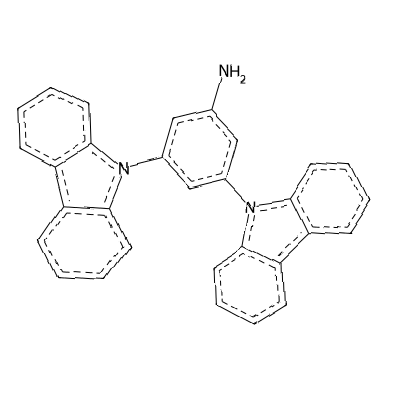 Nc1cc(-n2c3ccccc3c3ccccc32)cc(-n2c3ccccc3c3ccccc32)c1